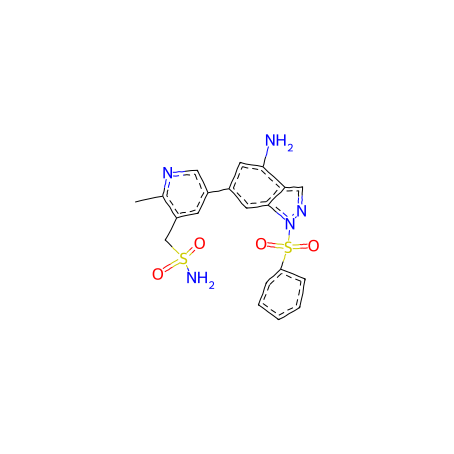 Cc1ncc(-c2cc(N)c3cnn(S(=O)(=O)c4ccccc4)c3c2)cc1CS(N)(=O)=O